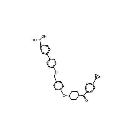 O=C(c1ccc(C2=CC2)cc1)N1CCC(Oc2ccc(COc3ccc(-c4ccc(C(O)O)cc4)cc3)cc2)CC1